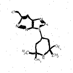 CC1(C)CC(n2nnc3cc(Cl)nnc32)CC(C)(C)N1